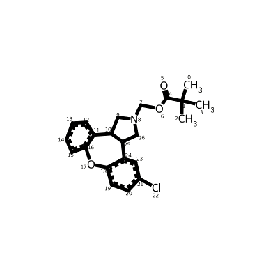 CC(C)(C)C(=O)OCN1CC2c3ccccc3Oc3ccc(Cl)cc3C2C1